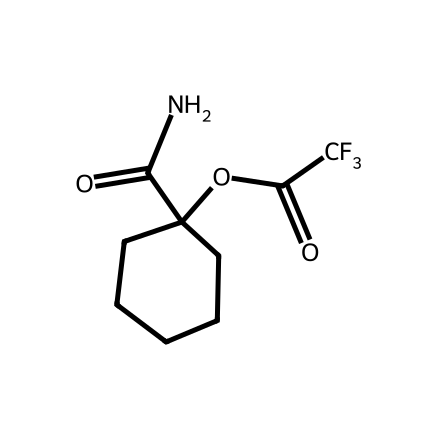 NC(=O)C1(OC(=O)C(F)(F)F)CCCCC1